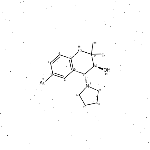 CC(=O)c1ccc2c(c1)[C@@H](N1CCCC1)[C@H](O)C(C)(C)O2